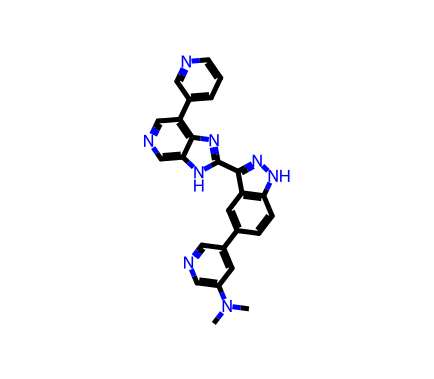 CN(C)c1cncc(-c2ccc3[nH]nc(-c4nc5c(-c6cccnc6)cncc5[nH]4)c3c2)c1